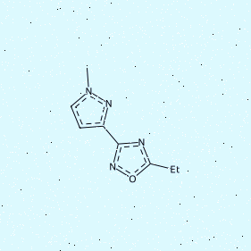 CCc1nc(-c2ccn(C)n2)no1